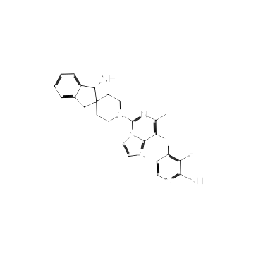 Cc1nc(N2CCC3(CC2)Cc2ccccc2[C@H]3N)n2ccnc2c1Sc1ccnc(N)c1F